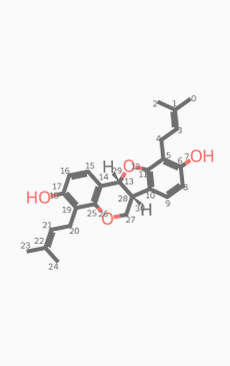 CC(C)=CCc1c(O)ccc2c1O[C@H]1c3ccc(O)c(CC=C(C)C)c3OC[C@@H]21